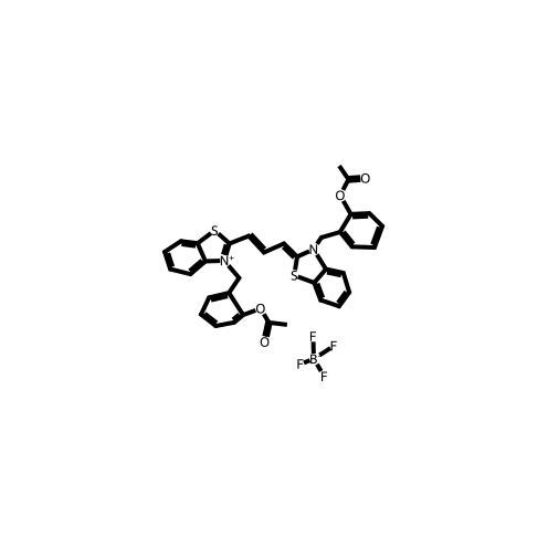 CC(=O)Oc1ccccc1CN1C(=CC=Cc2sc3ccccc3[n+]2Cc2ccccc2OC(C)=O)Sc2ccccc21.F[B-](F)(F)F